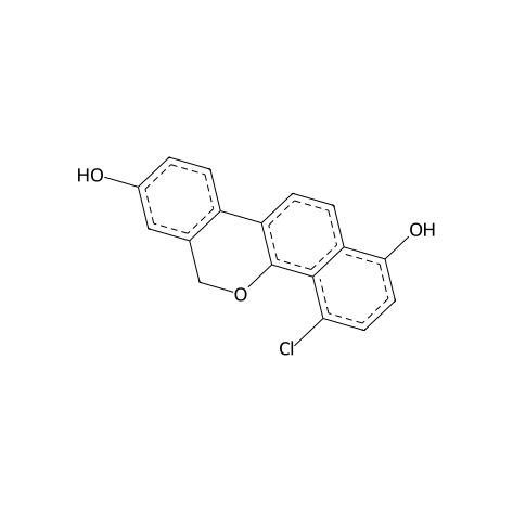 Oc1ccc2c(c1)COc1c-2ccc2c(O)ccc(Cl)c12